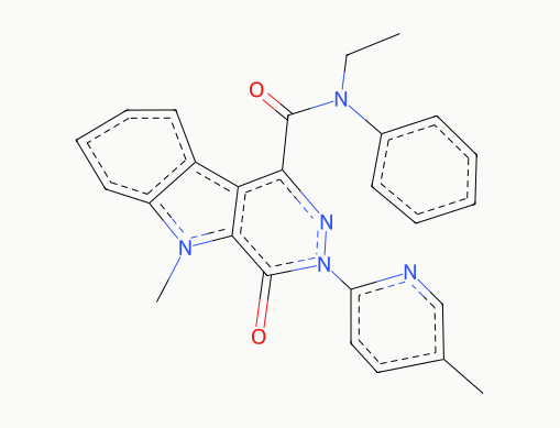 CCN(C(=O)c1nn(-c2ccc(C)cn2)c(=O)c2c1c1ccccc1n2C)c1ccccc1